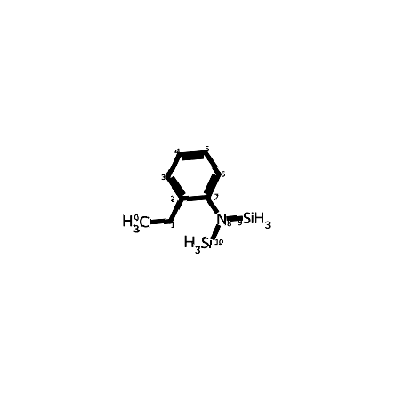 CCc1ccccc1N([SiH3])[SiH3]